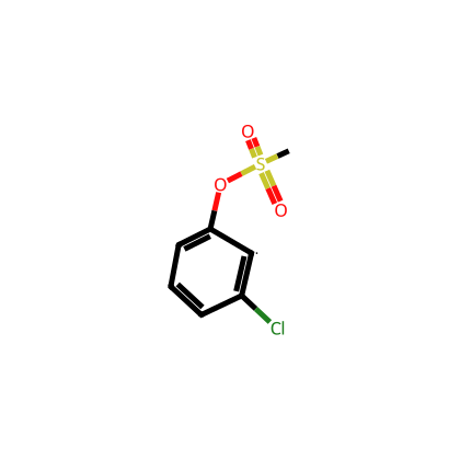 CS(=O)(=O)Oc1[c]c(Cl)ccc1